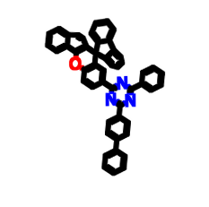 c1ccc(-c2ccc(-c3nc(-c4ccccc4)nc(-c4ccc5c(c4)C4(c6ccccc6-c6ccccc64)c4ccc6ccccc6c4O5)n3)cc2)cc1